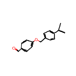 CC(C)c1ccc(COc2ccc(C=O)cc2)cc1